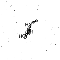 O=C(O)c1ccc(S(=O)(=O)NCc2nc(-c3ccc(NCCc4ccc(C5CCCCC5)cc4)cc3)cs2)cc1